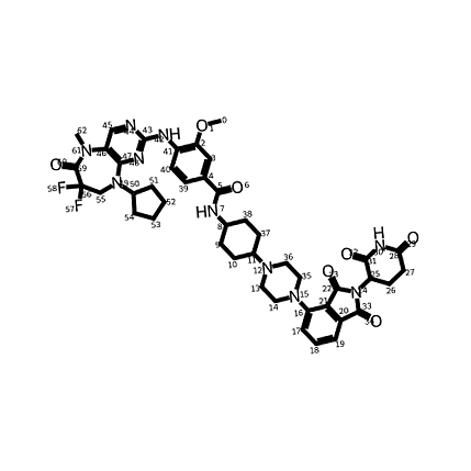 COc1cc(C(=O)NC2CCC(N3CCN(c4cccc5c4C(=O)N(C4CCC(=O)NC4=O)C5=O)CC3)CC2)ccc1Nc1ncc2c(n1)N(C1CCCC1)CC(F)(F)C(=O)N2C